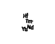 [Hf].[Nd].[Tm].[Yb]